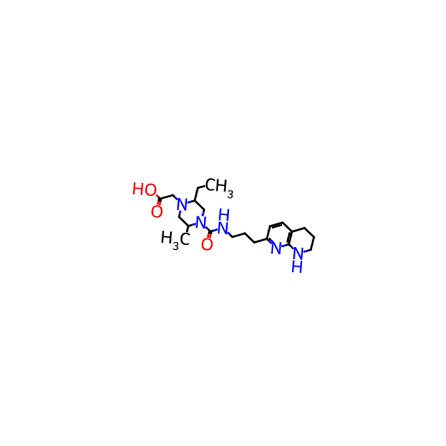 CCC1CN(C(=O)NCCCc2ccc3c(n2)NCCC3)C(C)CN1CC(=O)O